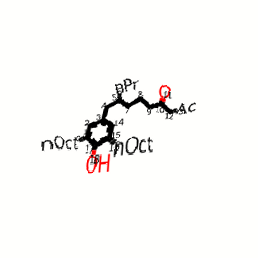 CCCCCCCCc1cc(CC(CCC)CCCC(=O)CC(C)=O)cc(CCCCCCCC)c1O